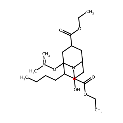 CCCCC1C(O)CC2CC(C(=O)OCC)CC1(O[SiH](C)C)N2CC(=O)OCC